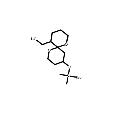 CC(C)(C)[Si](C)(C)OC1CCOC2(C1)OCCCC2CC#N